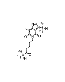 [2H]C([2H])([2H])C(=O)CCCCn1c(=O)c2c(ncn2C([2H])([2H])[2H])n(C)c1=O